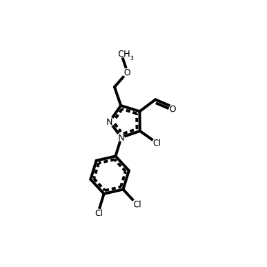 COCc1nn(-c2ccc(Cl)c(Cl)c2)c(Cl)c1C=O